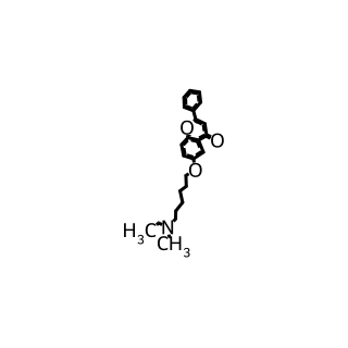 CCN(CC)CCCCCCOc1ccc2oc(-c3ccccc3)cc(=O)c2c1